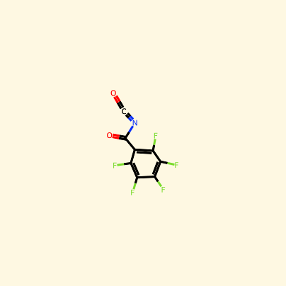 O=C=NC(=O)c1c(F)c(F)c(F)c(F)c1F